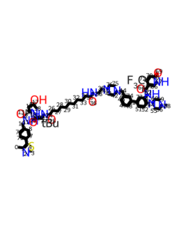 Cc1ncsc1-c1ccc(CNC(=O)[C@@H]2C[C@@H](O)CN2C(=O)[C@@H](NC(=O)CCCCCCCCCC(=O)NCCN2CCN(Cc3cccc(-c4ccc(N5CCN(C)CC5)c(NC(=O)c5c[nH]c(=O)cc5C(F)(F)F)c4)c3)CC2)C(C)(C)C)cc1